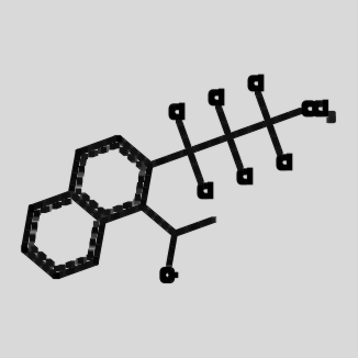 CC([O])c1c(C(Cl)(Cl)C(Cl)(Cl)C(Cl)(Cl)C(Cl)(Cl)Cl)ccc2ccccc12